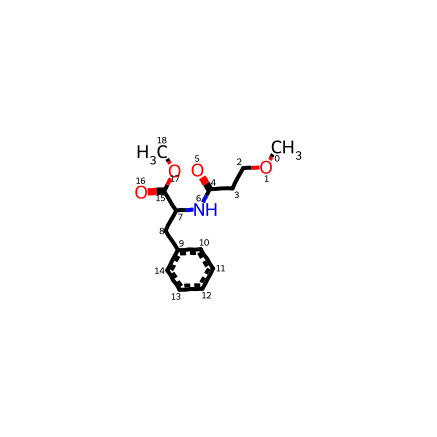 COCCC(=O)NC(Cc1ccccc1)C(=O)OC